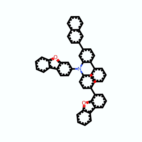 c1ccc(-c2ccc(-c3ccc4ccccc4c3)cc2N(c2ccc(-c3cccc4c3oc3ccccc34)cc2)c2ccc3c(c2)oc2ccccc23)cc1